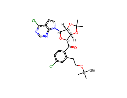 CC1(C)O[C@@H]2[C@H](O1)[C@@H](C(=O)c1ccc(Cl)cc1CCO[Si](C)(C)C(C)(C)C)O[C@H]2n1ccc2c(Cl)ncnc21